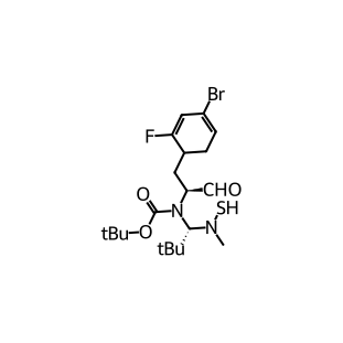 CN(S)[C@@H](N(C(=O)OC(C)(C)C)[C@H](C=O)CC1CC=C(Br)C=C1F)C(C)(C)C